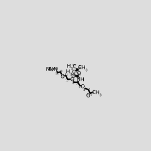 CC(=O)CCOCC(COCCOCCN=[N+]=[N-])NC(=O)OC(C)(C)C